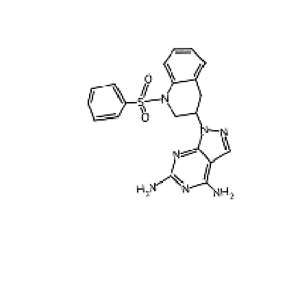 Nc1nc(N)c2cnn(C3Cc4ccccc4N(S(=O)(=O)c4ccccc4)C3)c2n1